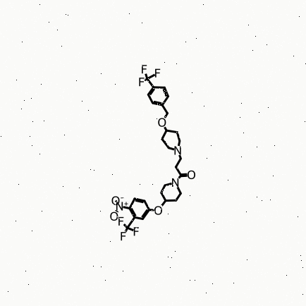 O=C(CCN1CCC(OCc2ccc(C(F)(F)F)cc2)CC1)N1CCC(Oc2ccc([N+](=O)[O-])c(C(F)(F)F)c2)CC1